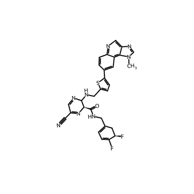 Cn1cnc2cnc3ccc(-c4ccc(CNC5N=CC(C#N)=N[C@@H]5C(=O)NCC5=CC=C(F)[C@H](F)C5)s4)cc3c21